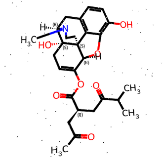 CC(=O)C[C@H](CC(=O)C(C)C)C(=O)OC1=CC[C@@]2(O)[C@H]3Cc4ccc(O)c5c4[C@@]2(CCN3C)[C@H]1O5